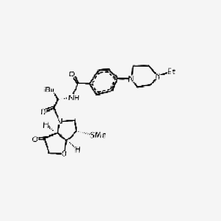 CC[C@H](C)[C@H](NC(=O)c1ccc(N2CCN(CC)CC2)cc1)C(=O)N1C[C@H](SC)[C@H]2OCC(=O)[C@H]21